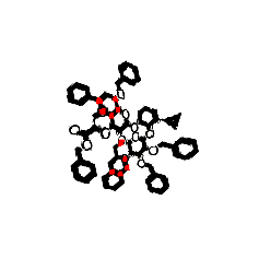 C[C@@H]1O[C@@H](O[C@@H]2[C@@H](C3CC3)CCC[C@H]2O[C@@H]2O[C@H](COCc3ccccc3)[C@H](OCc3ccccc3)[C@H](O[C@@H](CC3CCCCC3)C(=O)OCc3ccccc3)[C@H]2OCc2ccccc2)[C@@H](OCc2ccccc2)[C@H](OCc2ccccc2)[C@@H]1OCc1ccccc1